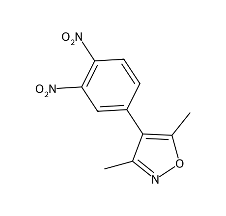 Cc1noc(C)c1-c1ccc([N+](=O)[O-])c([N+](=O)[O-])c1